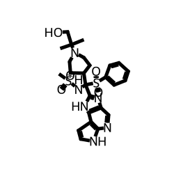 CC(C)(CO)N1CCC(C(NS(C)(=O)=O)(c2nc3cnc4[nH]ccc4c3[nH]2)S(=O)(=O)c2ccccc2)CC1